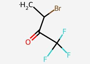 [CH2]C(Br)C(=O)C(F)(F)F